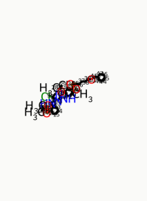 Cc1cc(Nc2ncc(Cl)c(Nc3ccccc3S(=O)(=O)C(C)C)n2)c(OC(C)C)cc1S(=O)(=O)CCCCCOCc1ccccc1